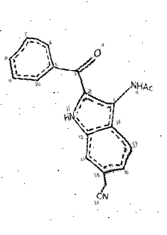 CC(=O)Nc1c(C(=O)c2ccccc2)[nH]c2cc(C#N)ccc12